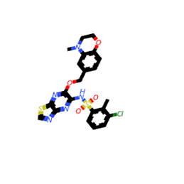 Cc1c(Cl)cccc1S(=O)(=O)Nc1nc2ncsc2nc1OCc1ccc2c(c1)N(C)CCO2